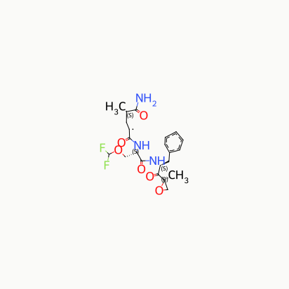 C[C@@H](C[CH]C(=O)N[C@@H](COC(F)F)C(=O)N[C@@H](Cc1ccccc1)C(=O)[C@@]1(C)CO1)C(N)=O